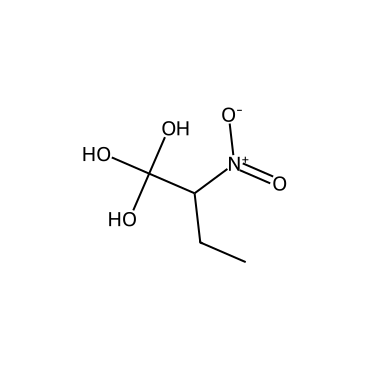 CCC([N+](=O)[O-])C(O)(O)O